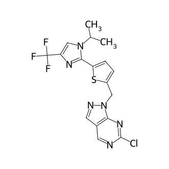 CC(C)n1cc(C(F)(F)F)nc1-c1ccc(Cn2ncc3cnc(Cl)nc32)s1